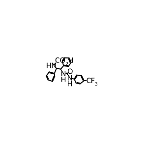 O=C(O)N[C@H](c1ccccc1)[C@H](NC(=O)Nc1ccc(C(F)(F)F)cc1)c1ccccc1